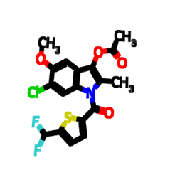 COc1cc2c(OC(C)=O)c(C)n(C(=O)c3ccc(C(F)F)s3)c2cc1Cl